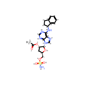 CC(=O)O[C@H]1C[C@H](COS(N)(=O)=O)O[C@H]1n1cnc2c(N[C@H]3CCc4ccccc43)ncnc21